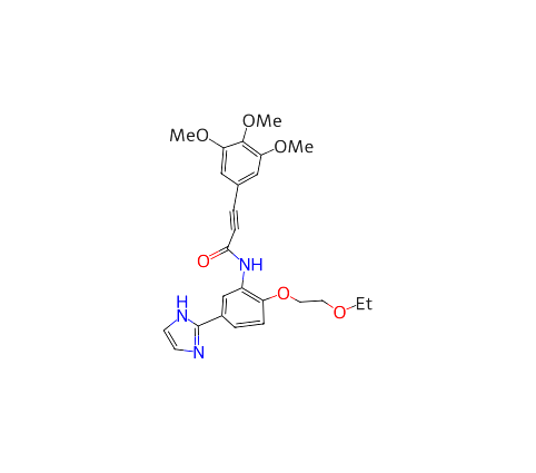 CCOCCOc1ccc(-c2ncc[nH]2)cc1NC(=O)C#Cc1cc(OC)c(OC)c(OC)c1